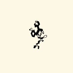 CCN(CC)CCCN(C)C(=O)Cn1ncc(-c2ccncc2)c1-c1cccc(OC)c1